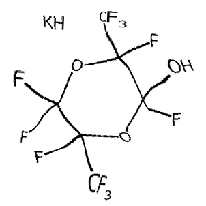 OC1(F)OC(F)(C(F)(F)F)C(F)(F)OC1(F)C(F)(F)F.[KH]